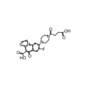 O=C(O)CCC(=O)N1CCN(c2cc3c(cc2F)c(=O)c(C(=O)O)c2sccn23)CC1